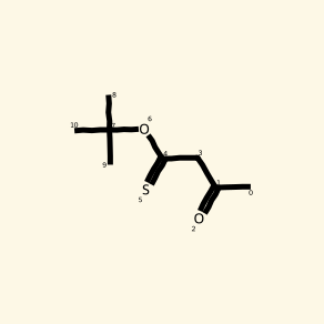 CC(=O)CC(=S)OC(C)(C)C